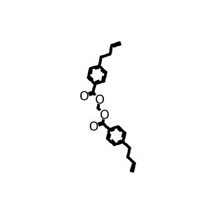 C=CCCc1ccc(C(=O)OCOC(=O)c2ccc(CCC=C)cc2)cc1